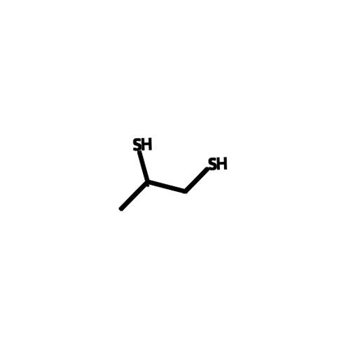 C[C](S)CS